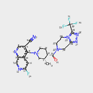 C[C@@H]1CN(c2c(C#N)cnc3cnc(F)cc23)CC[C@@H]1C(=O)N1CCn2c(nnc2C(F)(F)F)C1